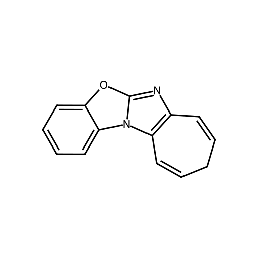 C1=Cc2nc3oc4ccccc4n3c2C=CC1